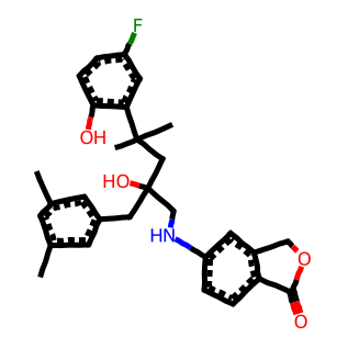 Cc1cc(C)cc(CC(O)(CNc2ccc3c(c2)COC3=O)CC(C)(C)c2cc(F)ccc2O)c1